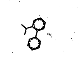 CC(C)c1ccccc1-c1ccccc1.P